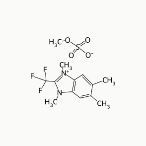 COS(=O)(=O)[O-].Cc1cc2c(cc1C)[n+](C)c(C(F)(F)F)n2C